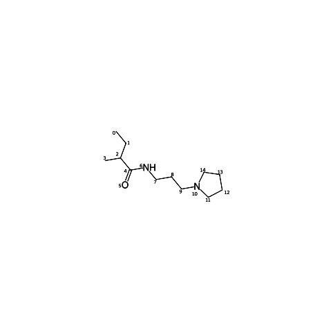 CCC(C)C(=O)NCCCN1CCCC1